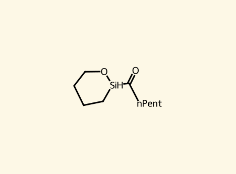 CCCCCC(=O)[SiH]1CCCCO1